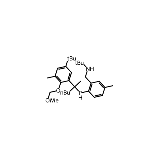 CCCCC(C)(Pc1ccc(C)cc1CNC(C)(C)C)c1cc(C(C)(C)C)cc(C)c1OCOC